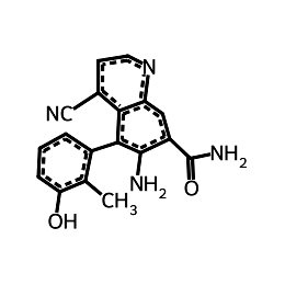 Cc1c(O)cccc1-c1c(N)c(C(N)=O)cc2nccc(C#N)c12